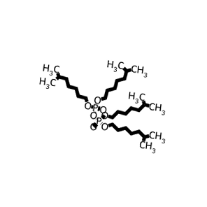 CC(C)CCCCCOP(=O)(OCCCCCC(C)C)OP(=O)(OCCCCCC(C)C)OCCCCCC(C)C